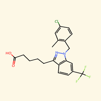 Cc1cc(Cl)ccc1Cn1nc(CCCCC(=O)O)c2ccc(C(F)(F)F)cc21